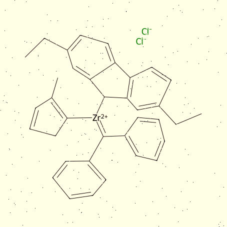 CCc1ccc2c(c1)[CH]([Zr+2]([C]1=C(C)C=CC1)=[C](c1ccccc1)c1ccccc1)c1cc(CC)ccc1-2.[Cl-].[Cl-]